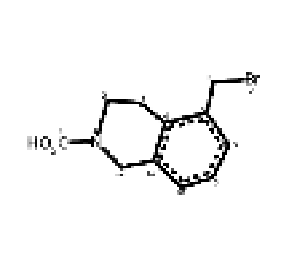 O=C(O)N1CCc2c(CBr)cccc2C1